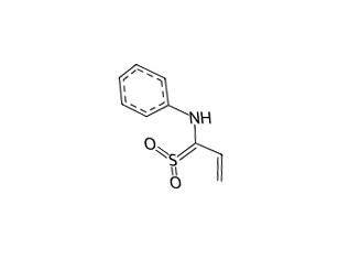 C=CC(Nc1ccccc1)=S(=O)=O